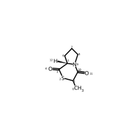 CC1SC(=O)[C@@H]2CCCN2C1=O